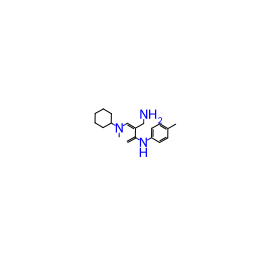 C=C(Nc1ccc(C)cc1)/C(=C\N(C)C1CCCCC1)CN